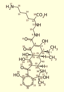 CN(C)[C@@H]1C(O)=C(C(=O)NCNC(CCCCN)C(=O)O)C(=O)[C@@]2(O)C(O)=C3C(=O)c4c(O)cccc4[C@@](C)(O)[SiH2][C@H]3C[C@@H]12